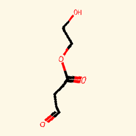 O=CCC(=O)OCCO